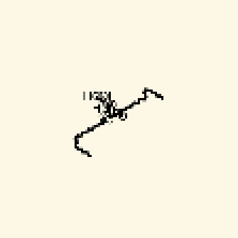 CCCCC/C=C\C/C=C\CCCCCCCCCC(=O)O[C@H](COC(=O)CCCCCCC/C=C\C/C=C\CCCCC)COP(=O)(O)OC[C@@H](O)CO